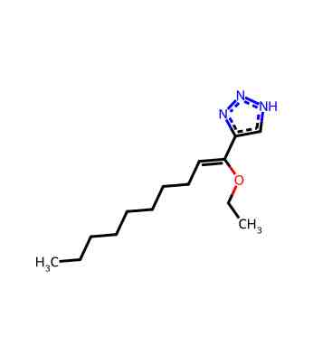 CCCCCCCCC=C(OCC)c1c[nH]nn1